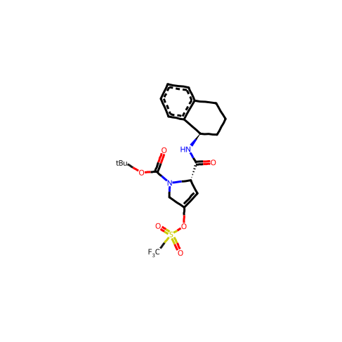 CC(C)(C)OC(=O)N1CC(OS(=O)(=O)C(F)(F)F)=C[C@H]1C(=O)N[C@@H]1CCCc2ccccc21